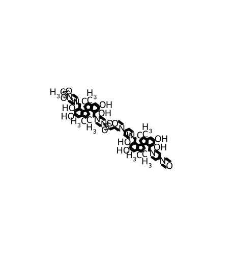 CC1(C)CC2(CC(C)(C)c3cc(O)c(O)c(CN4CCC(N5CCOC(CS(=O)(=O)N6CCN(Cc7c(O)c(O)cc8c7C7(CC(C)(C)c9cc(O)c(O)c(CN%10CCN(S(C)(=O)=O)CC%10)c97)CC8(C)C)CC6)C5)CC4)c32)c2c1cc(O)c(O)c2CN1CCC(N2CCOCC2)CC1